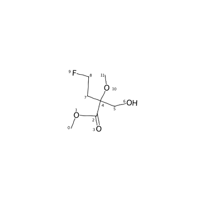 COC(=O)C(CO)(CCF)OC